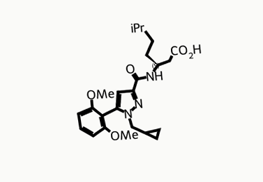 COc1cccc(OC)c1-c1cc(C(=O)N[C@@H](CCC(C)C)CC(=O)O)nn1CC1CC1